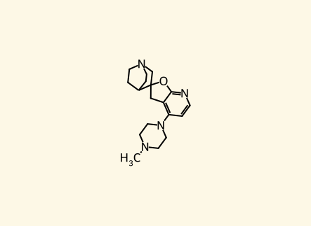 CN1CCN(c2ccnc3c2CC2(CN4CCC2CC4)O3)CC1